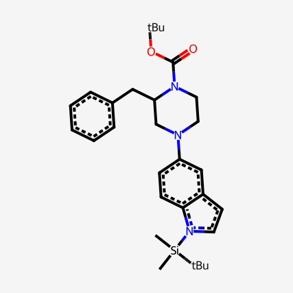 CC(C)(C)OC(=O)N1CCN(c2ccc3c(ccn3[Si](C)(C)C(C)(C)C)c2)CC1Cc1ccccc1